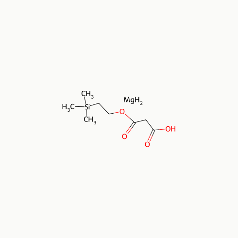 C[Si](C)(C)CCOC(=O)CC(=O)O.[MgH2]